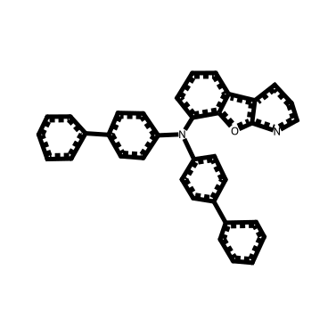 c1ccc(-c2ccc(N(c3ccc(-c4ccccc4)cc3)c3cccc4c3oc3ncccc34)cc2)cc1